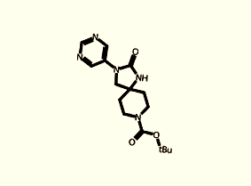 CC(C)(C)OC(=O)N1CCC2(CC1)CN(c1cncnc1)C(=O)N2